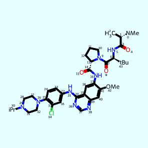 CN[C@@H](C)C(=O)N[C@H](C(=O)N1CCC[C@H]1C(=O)Nc1cc2c(Nc3ccc(N4CCN(C(C)C)CC4)c(Cl)c3)ncnc2cc1OC)C(C)(C)C